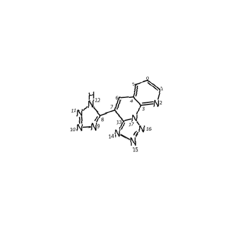 c1cnc2c(c1)cc(-c1nnn[nH]1)c1nnnn12